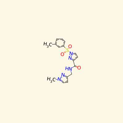 Cc1cccc(S(=O)(=O)n2ccc(C(=O)NCc3ccn(C)n3)n2)c1